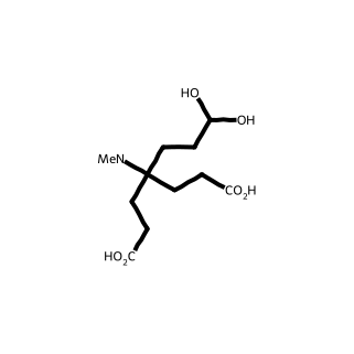 CNC(CCC(=O)O)(CCC(=O)O)CCC(O)O